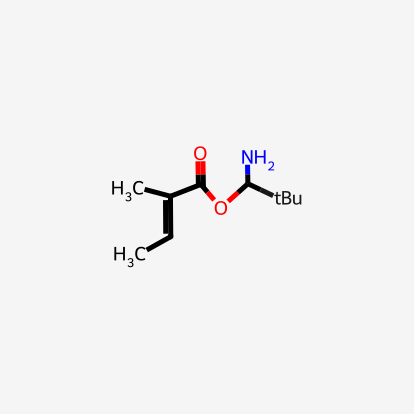 CC=C(C)C(=O)OC(N)C(C)(C)C